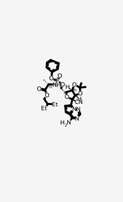 CCC(CC)COC(=O)[C@H](C)N[P@](=O)(OC[C@H]1O[C@@](C#N)(c2ccc3c(N)ncnn23)[C@@H]2OC(C)(C)O[C@@H]21)Oc1ccccc1